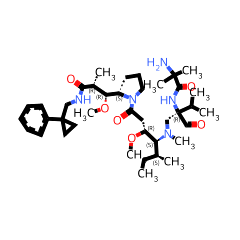 CC[C@H](C)[C@@H]([C@@H](CC(=O)N1CCC[C@H]1[C@H](OC)[C@@H](C)C(=O)NCC1(c2ccccc2)CC1)OC)N(C)C[C@](C=O)(NC(=O)C(C)(C)N)C(C)C